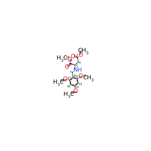 COC(=O)CC(NCc1c(OC)cc(OC)cc1OC)C(=O)OC